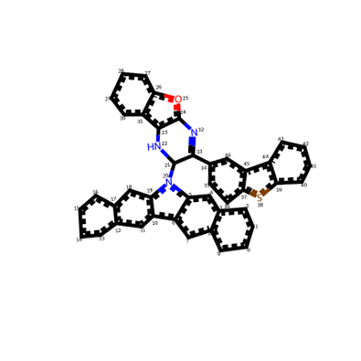 c1ccc2cc3c(cc2c1)c1cc2ccccc2cc1n3C1Nc2c(oc3ccccc23)N=C1c1ccc2sc3ccccc3c2c1